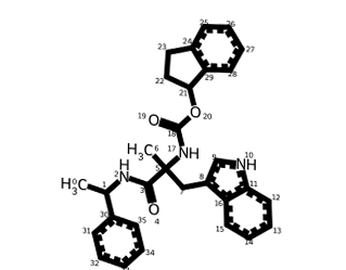 CC(NC(=O)C(C)(Cc1c[nH]c2ccccc12)NC(=O)OC1CCc2ccccc21)c1ccccc1